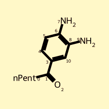 CCCCCC(=O)c1ccc(N)c(N)c1